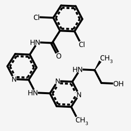 Cc1cc(Nc2cc(NC(=O)c3c(Cl)cccc3Cl)ccn2)nc(N[C@@H](C)CO)n1